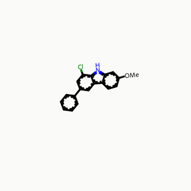 COc1ccc2c(c1)[nH]c1c(Cl)cc(-c3ccccc3)cc12